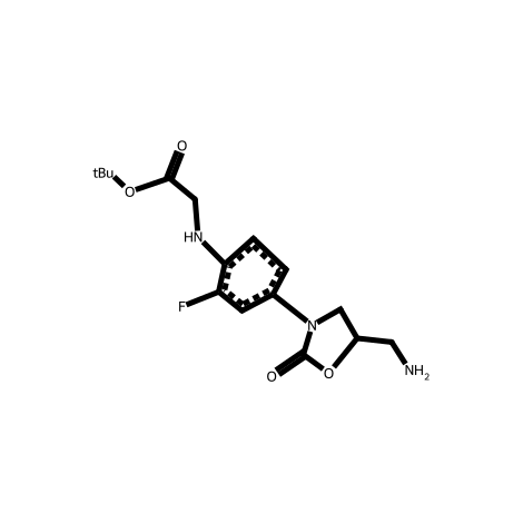 CC(C)(C)OC(=O)CNc1ccc(N2CC(CN)OC2=O)cc1F